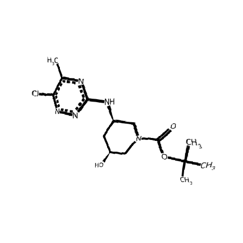 Cc1nc(N[C@@H]2C[C@H](O)CN(C(=O)OC(C)(C)C)C2)nnc1Cl